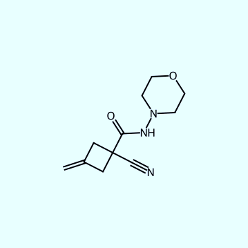 C=C1CC(C#N)(C(=O)NN2CCOCC2)C1